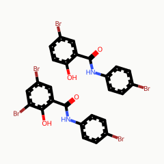 O=C(Nc1ccc(Br)cc1)c1cc(Br)cc(Br)c1O.O=C(Nc1ccc(Br)cc1)c1cc(Br)ccc1O